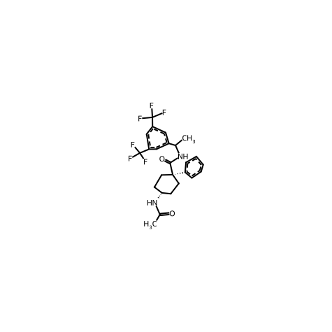 CC(=O)N[C@H]1CC[C@@](C(=O)NC(C)c2cc(C(F)(F)F)cc(C(F)(F)F)c2)(c2ccccc2)CC1